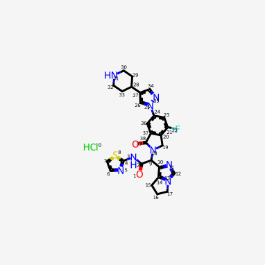 Cl.O=C(Nc1nccs1)C(c1ncn2c1CCC2)N1Cc2c(F)cc(-n3cc(C4CCNCC4)cn3)cc2C1=O